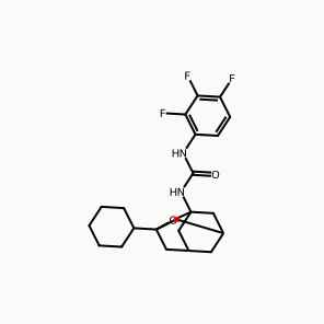 O=C(Nc1ccc(F)c(F)c1F)NC12CC3CC(C1)CC(C1CCCCC1)(C3)O2